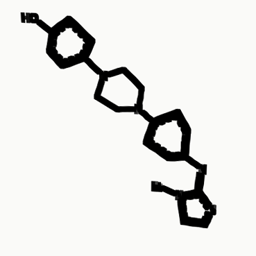 CCn1ccsc1=Nc1ccc(N2CCN(c3ccc(O)cc3)CC2)cc1